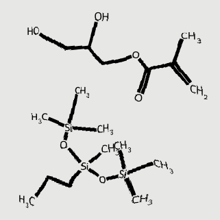 C=C(C)C(=O)OCC(O)CO.CCC[Si](C)(O[Si](C)(C)C)O[Si](C)(C)C